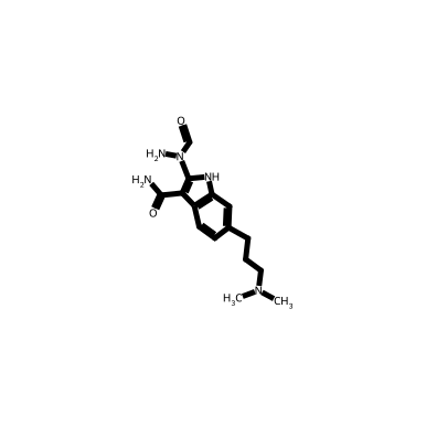 CN(C)CCCc1ccc2c(C(N)=O)c(N(N)C=O)[nH]c2c1